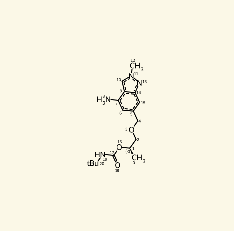 C[C@H](COCc1cc(N)c2cn(C)nc2c1)OC(=O)NC(C)(C)C